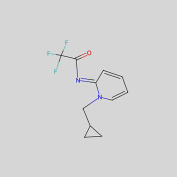 O=C(N=c1ccccn1CC1CC1)C(F)(F)F